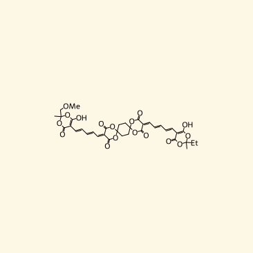 CCC1(C)OC(=O)C(/C=C/C=C/C=C2C(=O)OC3(CCC4(CC3)OC(=O)C(=C/C=C/C=C/C3=C(O)OC(C)(COC)OC3=O)C(=O)O4)OC2=O)=C(O)O1